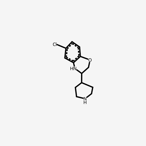 Clc1ccc2c(c1)NC(C1CCNCC1)CO2